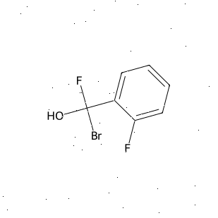 OC(F)(Br)c1ccccc1F